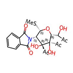 CS[C@@H]1O[C@H](C(O)C(C)=O)[C@](O)(C(C)=O)[C@@](O)(C(C)=O)[C@@H]1N1C(=O)c2ccccc2C1=O